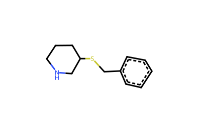 c1ccc(CSC2CCCNC2)cc1